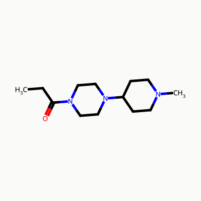 CCC(=O)N1CCN(C2CCN(C)CC2)CC1